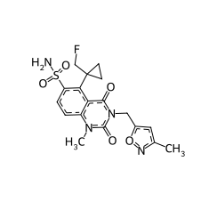 Cc1cc(Cn2c(=O)c3c(C4(CF)CC4)c(S(N)(=O)=O)ccc3n(C)c2=O)on1